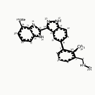 CCNCc1cncc(-c2ccc3[nH]nc(-c4nc5c(SC)cccc5[nH]4)c3c2)c1C